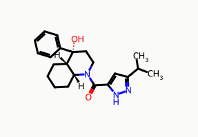 CC(C)c1cc(C(=O)N2CC[C@](O)(c3ccccc3)[C@H]3CCCC[C@H]32)[nH]n1